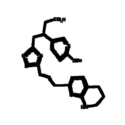 COc1ccc(C(CC(=O)O)Cc2nc(CCCc3ccc4c(n3)NCCC4)no2)cn1